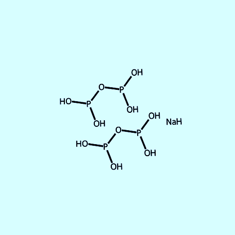 OP(O)OP(O)O.OP(O)OP(O)O.[NaH]